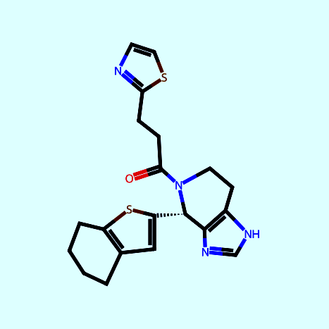 O=C(CCc1nccs1)N1CCc2[nH]cnc2[C@@H]1c1cc2c(s1)CCCC2